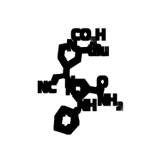 CC(C)(C)C1CC([C@H](CC#N)n2cc(C(N)=O)c(Nc3ccccc3)n2)CCN1C(=O)O